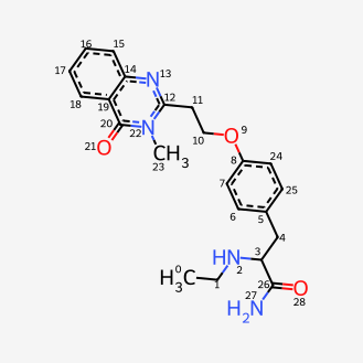 CCNC(Cc1ccc(OCCc2nc3ccccc3c(=O)n2C)cc1)C(N)=O